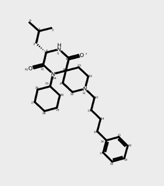 CC(C)C[C@@H]1NC(=O)C2(CCN(CCCCc3ccccc3)CC2)N(C2CCCCC2)C1=O